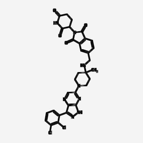 CC1(NCc2ccc3c(c2)C(=O)N(C2CCC(=O)NC2=O)C3=O)CCN(c2cnc3c(-c4cccc(Cl)c4Cl)n[nH]c3n2)CC1